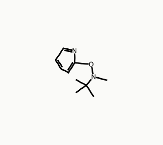 CN(Oc1ccccn1)C(C)(C)C